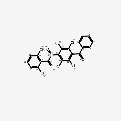 O=C(c1ccccc1)c1c(Cl)c(Cl)c([PH](=O)C(=O)c2c(C(F)(F)F)cccc2C(F)(F)F)c(Cl)c1Cl